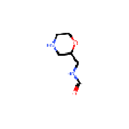 O=[C]NCC1CNCCO1